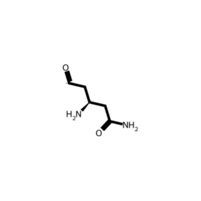 NC(=O)C[C@@H](N)C[C]=O